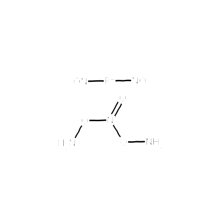 NO[N+](=O)ON.O=[N][Pt][N]=O